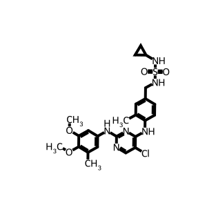 COc1cc(Nc2ncc(Cl)c(Nc3ccc(CNS(=O)(=O)NC4CC4)cc3C)n2)cc(C)c1OC